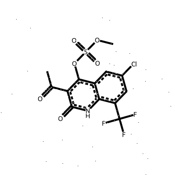 COS(=O)(=O)Oc1c(C(C)=O)c(=O)[nH]c2c(C(F)(F)F)cc(Cl)cc12